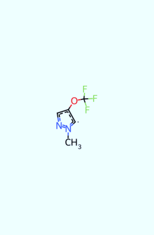 Cn1[c]c(OC(F)(F)F)cn1